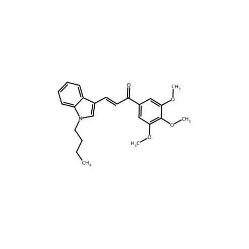 CCCCn1cc(/C=C/C(=O)c2cc(OC)c(OC)c(OC)c2)c2ccccc21